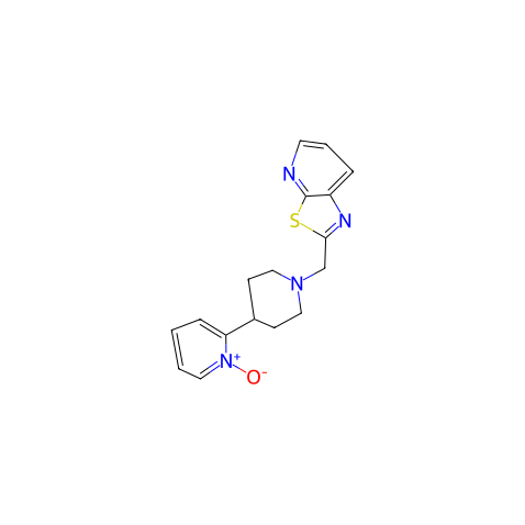 [O-][n+]1ccccc1C1CCN(Cc2nc3cccnc3s2)CC1